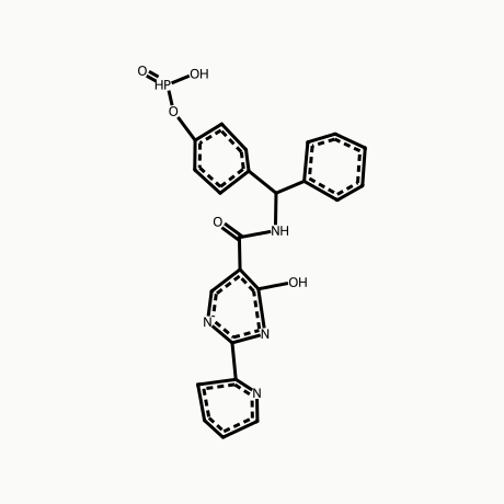 O=C(NC(c1ccccc1)c1ccc(O[PH](=O)O)cc1)c1cnc(-c2ccccn2)nc1O